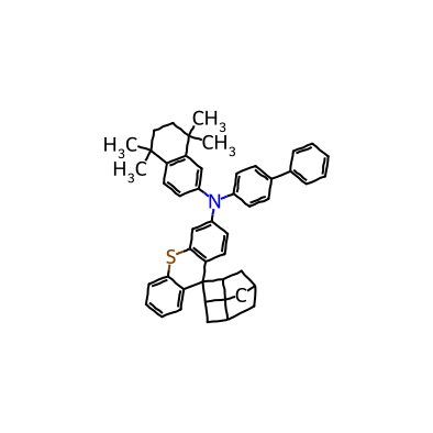 CC1(C)CCC(C)(C)c2cc(N(c3ccc(-c4ccccc4)cc3)c3ccc4c(c3)Sc3ccccc3C43C4CC5CC6CC3C64C5)ccc21